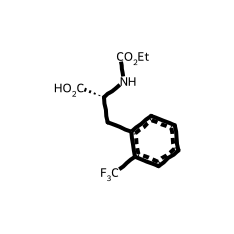 CCOC(=O)N[C@H](Cc1ccccc1C(F)(F)F)C(=O)O